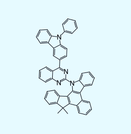 CC1(C)c2ccccc2-c2c1c1ccccc1c1c3ccccc3n(-c3nc(-c4ccc5c(c4)c4ccccc4n5-c4ccccc4)c4ccccc4n3)c21